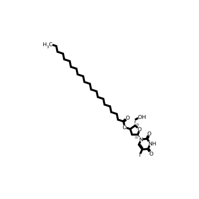 CCCCCCCCCCCCCCCCCCCCCC(=O)OC1C[C@@H](n2cc(I)c(=O)[nH]c2=O)O[C@H]1CO